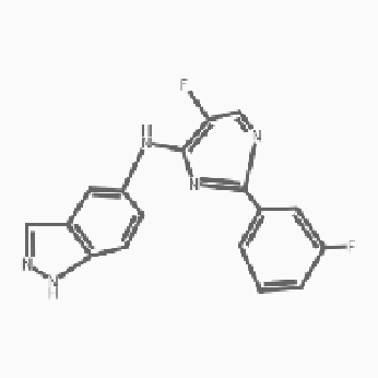 Fc1cccc(-c2ncc(F)c(Nc3ccc4[nH]ncc4c3)n2)c1